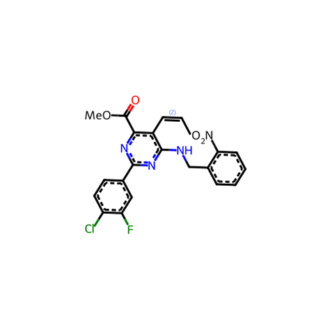 C/C=C\c1c(NCc2ccccc2[N+](=O)[O-])nc(-c2ccc(Cl)c(F)c2)nc1C(=O)OC